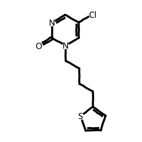 O=c1ncc(Cl)cn1CCCCc1cccs1